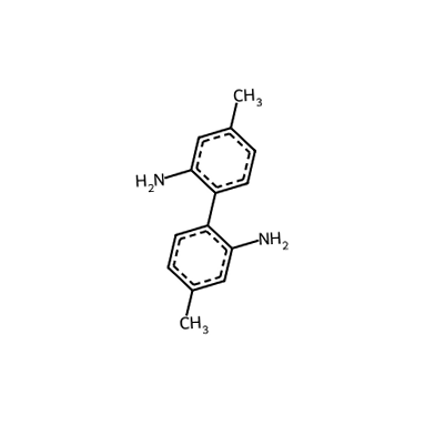 Cc1ccc(-c2ccc(C)cc2N)c(N)c1